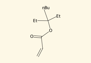 C=CC(=O)OC(CC)(CC)CCCC